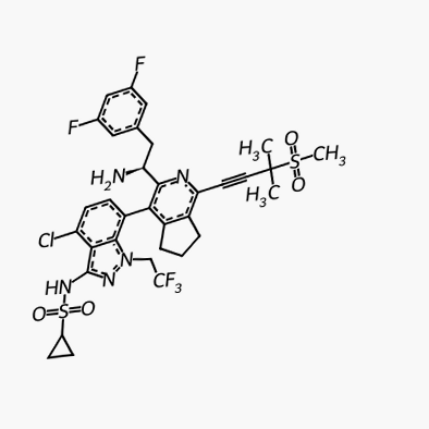 CC(C)(C#Cc1nc([C@@H](N)Cc2cc(F)cc(F)c2)c(-c2ccc(Cl)c3c(NS(=O)(=O)C4CC4)nn(CC(F)(F)F)c23)c2c1CCC2)S(C)(=O)=O